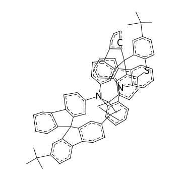 CC(C)(C)c1ccc2c(c1)C1(c3cc(C(C)(C)C)ccc3S2)c2ccccc2-c2ccc(N(c3ccc4c(c3)C3(c5ccccc5-4)c4cc(C(C)(C)C)ccc4-c4ccc(C(C)(C)C)cc43)c3ccccc3-n3c4ccccc4c4ccccc43)cc21